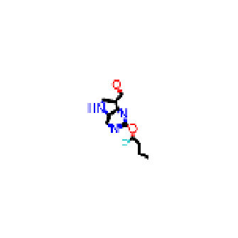 CCCC(F)Oc1ncc2[nH]cc(C=O)c2n1